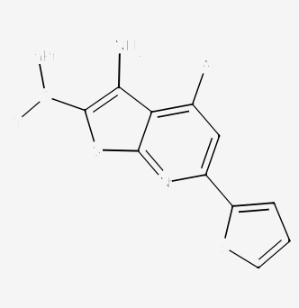 CCC[S+]([O-])c1sc2nc(-c3cccs3)cc(C(C)=O)c2c1N